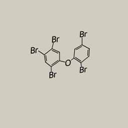 Brc1ccc(Br)c(Oc2cc(Br)c(Br)cc2Br)c1